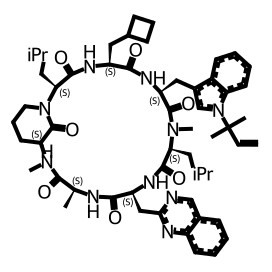 C=CC(C)(C)n1cc(C[C@@H]2NC(=O)[C@H](CC3CCC3)NC(=O)[C@H](CC(C)C)N3CCC[C@@H](C3=O)N(C)C(=O)[C@H](C)NC(=O)[C@H](Cc3ncc4ccccc4n3)NC(=O)[C@H](CC(C)C)N(C)C2=O)c2ccccc21